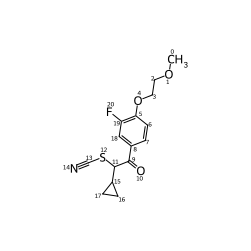 COCCOc1ccc(C(=O)C(SC#N)C2CC2)cc1F